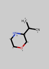 CC(C#N)C1COCCN1